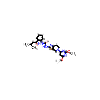 COc1cc(N2CCc3nc(NC(=O)Nc4ccccc4C(=O)CC(C)C)sc3C2)nc(OC)n1